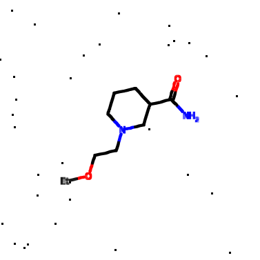 CCOCCN1CCCC(C(N)=O)C1